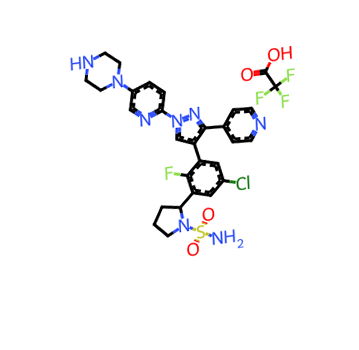 NS(=O)(=O)N1CCCC1c1cc(Cl)cc(-c2cn(-c3ccc(N4CCNCC4)cn3)nc2-c2ccncc2)c1F.O=C(O)C(F)(F)F